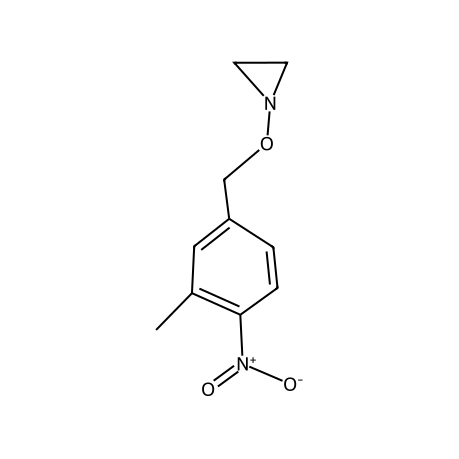 Cc1cc(CON2CC2)ccc1[N+](=O)[O-]